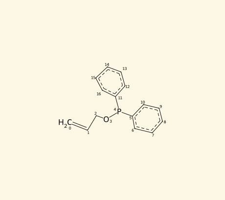 C=CCOP(c1ccccc1)c1ccccc1